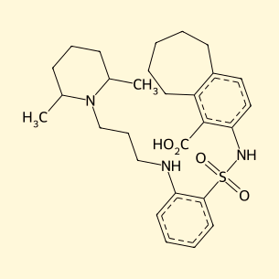 CC1CCCC(C)N1CCCNc1ccccc1S(=O)(=O)Nc1ccc2c(c1C(=O)O)CCCCC2